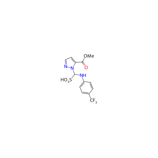 COC(=O)c1ccnn1C(Nc1ccc(C(F)(F)F)cc1)S(=O)(=O)O